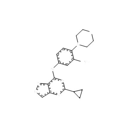 COc1cc(Nc2nc(C3CC3)nc3cn[nH]c23)ccc1N1CCOCC1